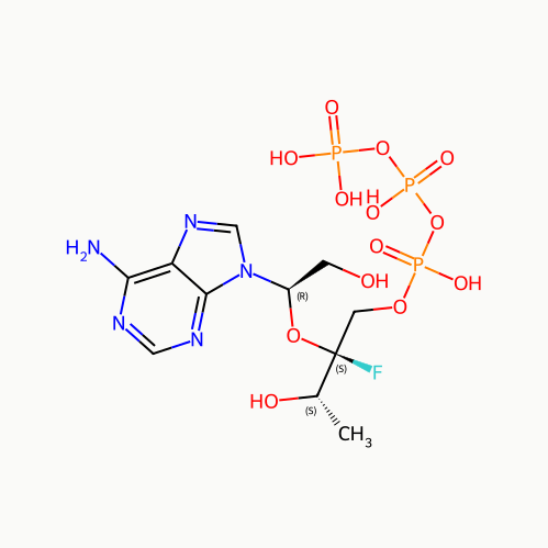 C[C@H](O)[C@@](F)(COP(=O)(O)OP(=O)(O)OP(=O)(O)O)O[C@H](CO)n1cnc2c(N)ncnc21